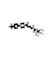 CC(C)(C)OC(=O)NCCCC(=O)N1CCN(c2ccc(C(F)(F)F)cn2)CC1